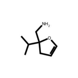 CC(C)C1(CN)CC=CO1